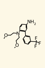 COCCN(CCOC)c1ccc(N)cc1-c1cccc(C(F)(F)F)c1